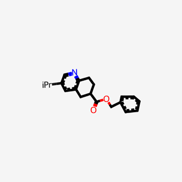 CC(C)c1cnc2c(c1)CC(C(=O)OCc1ccccc1)CC2